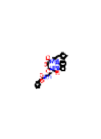 O=C(NCCCC[C@H](NC(=O)[C@H]1O[C@@H]1C(=O)NCCCc1ccccc1)C(=O)Nc1cccc2ccccc12)OCc1ccccc1